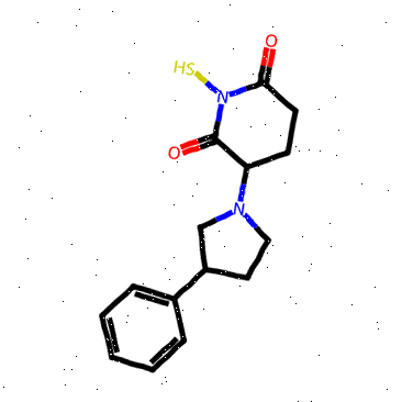 O=C1CCC(N2CCC(c3ccccc3)C2)C(=O)N1S